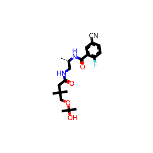 C[C@@H](CNC(=O)CC(C)(C)COC(C)(C)O)NC(=O)c1cc(C#N)ccc1F